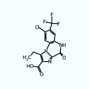 CCc1c(C(=O)O)nc2c(=O)[nH]c3cc(C(F)(F)F)c(Cl)cc3n12